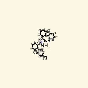 N=C(/N=C(\N)c1cccc2oc3cc(Cl)ccc3c12)c1cccc2oc3ccccc3c12